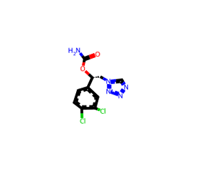 NC(=O)O[C@H](Cn1cnnn1)c1ccc(Cl)c(Cl)c1